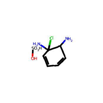 NC1C=CC=CC1(N)Cl.O=S(=O)(O)O